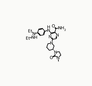 CCNN(CC)c1ccc(Nc2nc(N3CCC[C@@H](N4CCN(C)C4=O)C3)cnc2C(N)=O)cc1